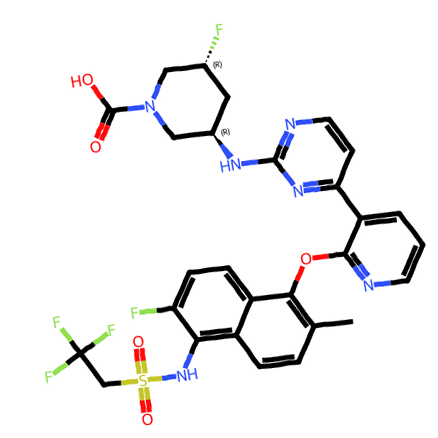 Cc1ccc2c(NS(=O)(=O)CC(F)(F)F)c(F)ccc2c1Oc1ncccc1-c1ccnc(N[C@@H]2C[C@@H](F)CN(C(=O)O)C2)n1